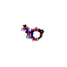 CC[C@H]1C[C@@]1(NC(=O)C1C[C@@H]2CN1C(=O)[C@H](C(C)(C)C)NC(=O)OCC/C=C/COc1cccc3c1CN(C3)C(=O)O2)C(=O)NS(=O)(=O)C1CC1